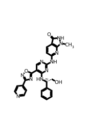 Cn1[nH]c(=O)c2ccc(Nc3ncc(-c4nc(-c5ccncc5)no4)c(N[C@H](CO)c4ccccc4)n3)nc21